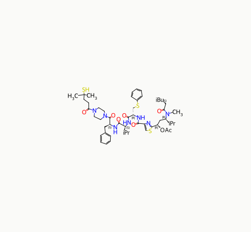 CC[C@H](C)CC(=O)N(C)[C@H](C[C@@H](OC(C)=O)c1nc(C(=O)N[C@@H](CSc2ccccc2)C(=O)N[C@H](C(=O)N[C@@H](Cc2ccccc2)C(=O)N2CCN(C(=O)CCC(C)(C)S)CC2)C(C)C)cs1)C(C)C